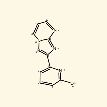 Oc1cccc(-c2nc3ncccn3n2)n1